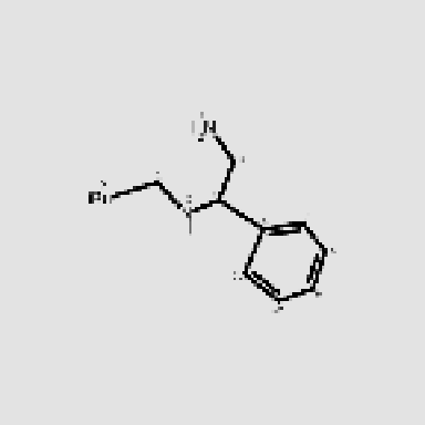 CCC(C)CNC(CN)c1ccccc1